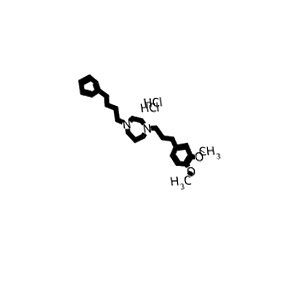 COc1ccc(CCCN2CCCN(CCCCc3ccccc3)CC2)cc1OC.Cl.Cl